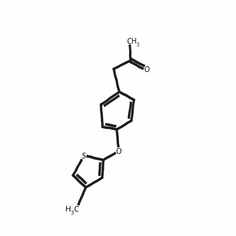 CC(=O)Cc1ccc(Oc2cc(C)cs2)cc1